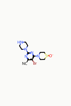 N#Cc1nc(N2CCNCC2)nc(N2CC[S+]([O-])CC2)c1Br